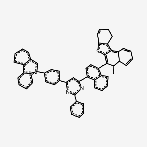 CC1C(c2ccc(-c3cc(-c4ccc(-c5cc6ccccc6c6ccccc56)cc4)nc(-c4ccccc4)n3)c3ccccc23)=c2sc3c(c2=C2C=CC=CC21)CCC=C3